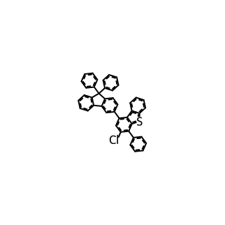 Clc1cc(-c2ccc3c(c2)-c2ccccc2C3(c2ccccc2)c2ccccc2)c2c(sc3ccccc32)c1-c1ccccc1